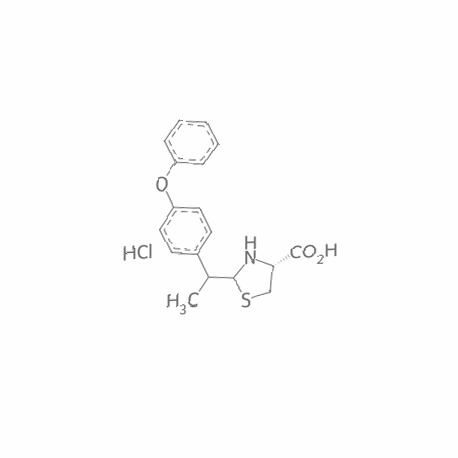 CC(c1ccc(Oc2ccccc2)cc1)C1N[C@H](C(=O)O)CS1.Cl